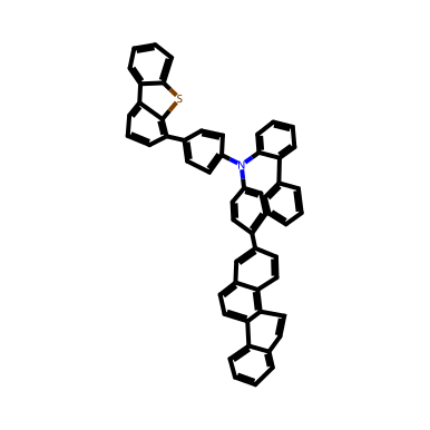 c1ccc(-c2ccccc2N(c2ccc(-c3ccc4c(ccc5c6ccccc6ccc45)c3)cc2)c2ccc(-c3cccc4c3sc3ccccc34)cc2)cc1